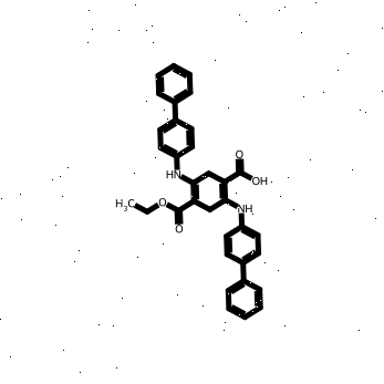 CCOC(=O)C1=C(Nc2ccc(-c3ccccc3)cc2)CC(C(=O)O)=C(Nc2ccc(-c3ccccc3)cc2)C1